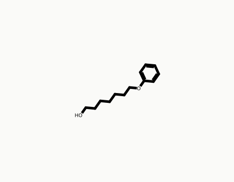 OCCCCCCCOc1ccccc1